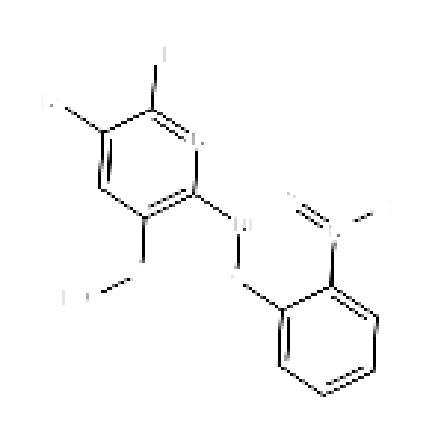 COc1cc(Br)c(Cl)nc1NSc1ccccc1[N+](=O)[O-]